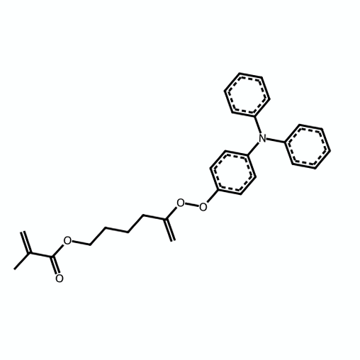 C=C(CCCCOC(=O)C(=C)C)OOc1ccc(N(c2ccccc2)c2ccccc2)cc1